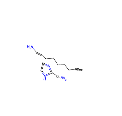 CCCCCCCCCCCCCCCC=CN.CCc1ncc[nH]1.N